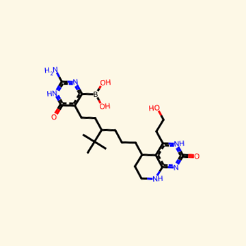 CC(C)(C)C(CCCC1CCNc2nc(=O)[nH]c(CCO)c21)CCc1c(B(O)O)nc(N)[nH]c1=O